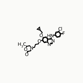 C[C@H]1CN(CCCOc2cc3ncnc(Nc4ccc(F)c(Cl)c4)c3cc2OCC2CC2)CC(=O)O1